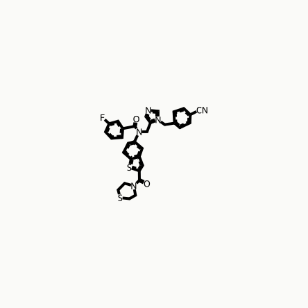 N#Cc1ccc(Cn2cncc2CN(C(=O)c2cccc(F)c2)c2ccc3sc(C(=O)N4CCSCC4)cc3c2)cc1